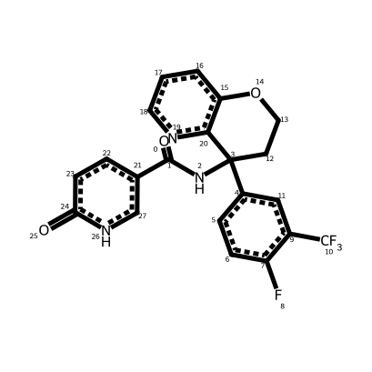 O=C(NC1(c2ccc(F)c(C(F)(F)F)c2)CCOc2cccnc21)c1ccc(=O)[nH]c1